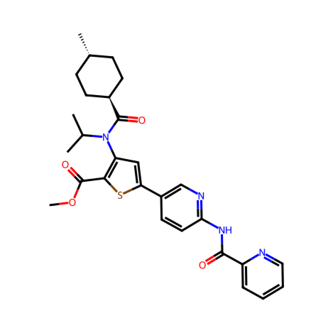 COC(=O)c1sc(-c2ccc(NC(=O)c3ccccn3)nc2)cc1N(C(=O)[C@H]1CC[C@H](C)CC1)C(C)C